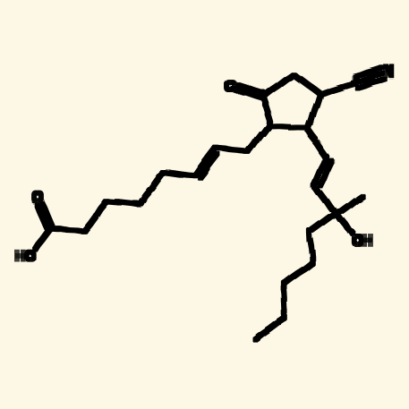 CCCCCC(C)(O)C=CC1C(C#N)CC(=O)C1CC=CCCCCC(=O)O